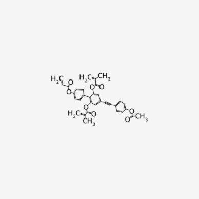 C=CC(=O)Oc1ccc(-c2c(OC(=O)C(=C)C)cc(C#Cc3ccc(OC(C)=O)cc3)cc2OC(=O)C(=C)C)cc1